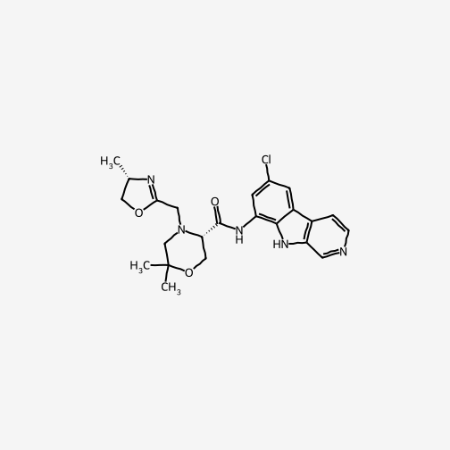 C[C@H]1COC(CN2CC(C)(C)OC[C@H]2C(=O)Nc2cc(Cl)cc3c2[nH]c2cnccc23)=N1